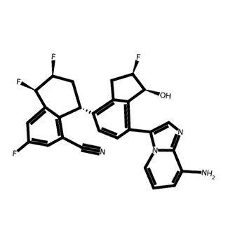 N#Cc1cc(F)cc2c1[C@@H](c1ccc(-c3cnc4c(N)cccn34)c3c1C[C@@H](F)[C@H]3O)C[C@H](F)[C@@H]2F